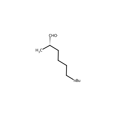 CCCCCCCC[C@H](C)[C]=O